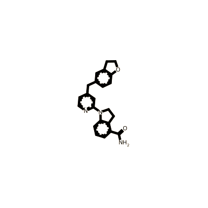 NC(=O)c1cccc2c1CCN2c1cc(Cc2ccc3c(c2)CCO3)ccn1